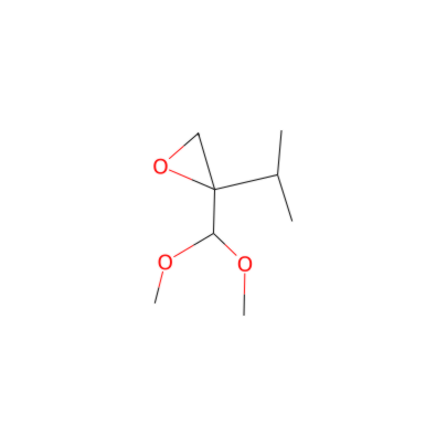 COC(OC)C1(C(C)C)CO1